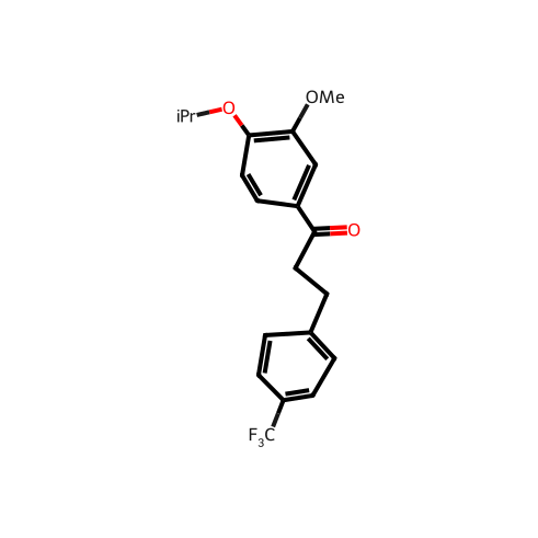 COc1cc(C(=O)CCc2ccc(C(F)(F)F)cc2)ccc1OC(C)C